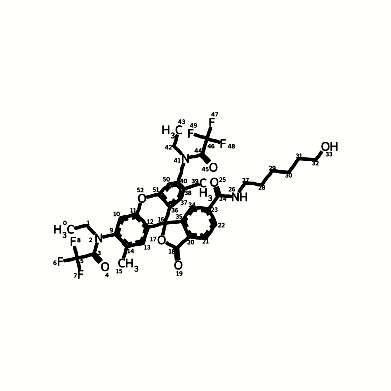 CCN(C(=O)C(F)(F)F)c1cc2c(cc1C)C1(OC(=O)c3ccc(C(=O)NCCCCCCO)cc31)c1cc(C)c(N(CC)C(=O)C(F)(F)F)cc1O2